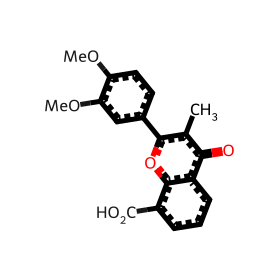 COc1ccc(-c2oc3c(C(=O)O)cccc3c(=O)c2C)cc1OC